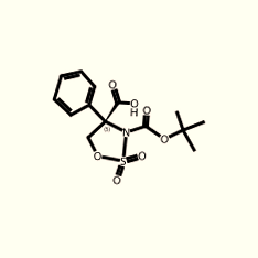 CC(C)(C)OC(=O)N1[C@@](C(=O)O)(c2ccccc2)COS1(=O)=O